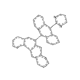 c1cnc(-c2c3ccccc3c(-c3cc4ccccc4c4cc5ccccc5cc34)c3ccccc23)nc1